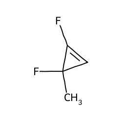 CC1(F)C=C1F